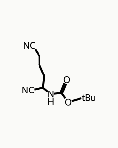 CC(C)(C)OC(=O)NC(C#N)CCCC#N